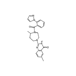 Cc1ccc2nc(N3CCC(C)N(C(=O)c4ccccc4-n4cccn4)CC3)[nH]c(=O)c2c1